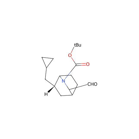 CC(C)(C)OC(=O)N1C(C=O)C2CCC1[C@@H](CC1CC1)C2